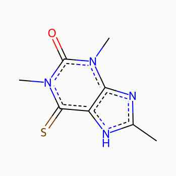 Cc1nc2c([nH]1)c(=S)n(C)c(=O)n2C